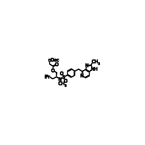 CCCCCCCCCCCC(=O)OC[C@H](CC(C)C)N(C)S(=O)(=O)c1ccc(Cc2nccc3[nH]c(C)nc23)cc1